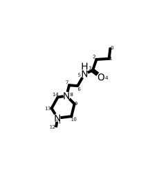 CCCC(=O)NCCN1CCN(C)CC1